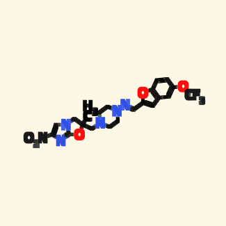 CC1(CN2CCN(N=Cc3cc4cc(OC(F)(F)F)ccc4o3)CC2)Cn2cc([N+](=O)[O-])nc2O1